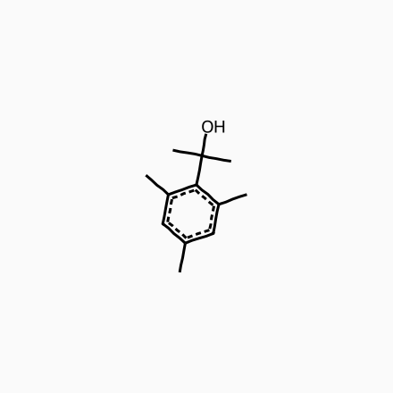 Cc1cc(C)c(C(C)(C)O)c(C)c1